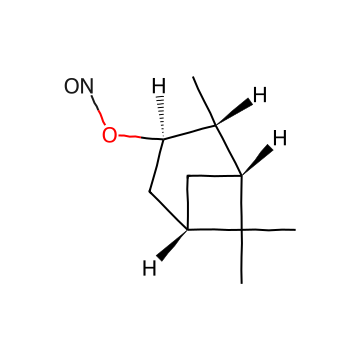 C[C@@H]1[C@H]2C[C@@H](C[C@H]1ON=O)C2(C)C